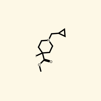 COC(=O)C1(I)CCN(CC2CC2)CC1